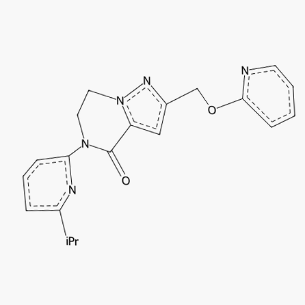 CC(C)c1cccc(N2CCn3nc(COc4ccccn4)cc3C2=O)n1